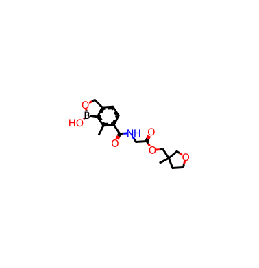 Cc1c(C(=O)NCC(=O)OCC2(C)CCOC2)ccc2c1B(O)OC2